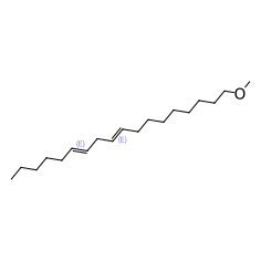 CCCCC/C=C/C/C=C/CCCCCCCCOC